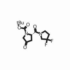 CC(C)(C)OC(=O)N1CC(=O)C[C@H]1C(=O)N1CCC(F)(F)C1